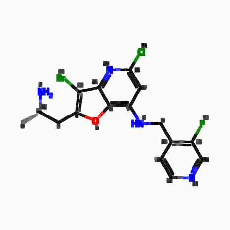 C[C@H](N)Cc1oc2c(NCc3ccncc3F)cc(Cl)nc2c1Br